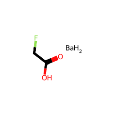 O=C(O)CF.[BaH2]